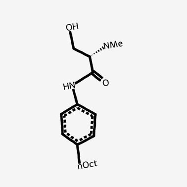 CCCCCCCCc1ccc(NC(=O)[C@H](CO)NC)cc1